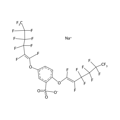 O=S(=O)([O-])c1cc(OC(F)=C(F)C(F)(F)C(F)(F)C(F)(F)C(F)(F)F)ccc1OC(F)=C(F)C(F)(F)C(F)(F)C(F)(F)C(F)(F)F.[Na+]